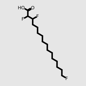 O=C(O)C(F)C(F)CCCCCCCCCCCCCF